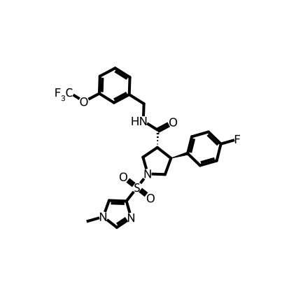 Cn1cnc(S(=O)(=O)N2C[C@H](C(=O)NCc3cccc(OC(F)(F)F)c3)[C@@H](c3ccc(F)cc3)C2)c1